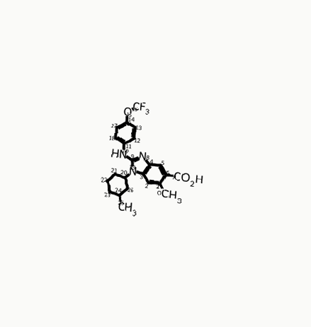 Cc1cc2c(cc1C(=O)O)nc(Nc1ccc(OC(F)(F)F)cc1)n2C1CCCC(C)C1